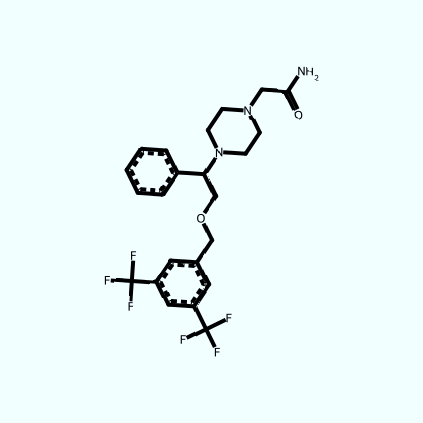 NC(=O)CN1CCN(C(COCc2cc(C(F)(F)F)cc(C(F)(F)F)c2)c2ccccc2)CC1